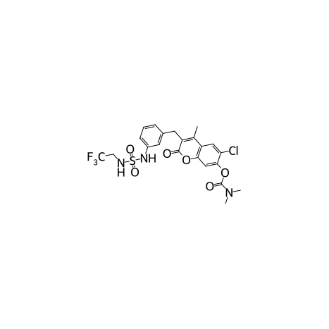 Cc1c(Cc2cccc(NS(=O)(=O)NCC(F)(F)F)c2)c(=O)oc2cc(OC(=O)N(C)C)c(Cl)cc12